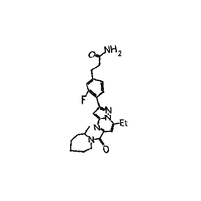 CCc1cc(C(=O)N2CCCCCC2C)nc2cc(-c3ccc(CCC(N)=O)cc3F)nn12